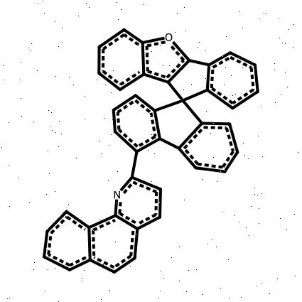 c1ccc2c(c1)-c1oc3ccccc3c1C21c2ccccc2-c2c(-c3ccc4ccc5ccccc5c4n3)cccc21